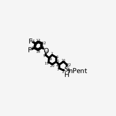 CCCCC[SiH]1CCC(C2CCC(COc3ccc(F)c(F)c3)CC2)CC1